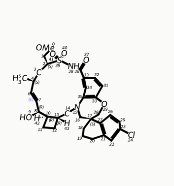 COC[C@@H]1C[C@H](C)/C=C/[C@H](O)[C@@H]2CC[C@H]2CN2C[C@@]3(CCCc4cc(Cl)ccc43)COc3ccc(cc32)C(=O)NS1(=O)=O